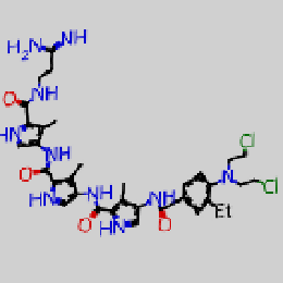 CCc1cc(C(=O)Nc2c[nH]c(C(=O)Nc3c[nH]c(C(=O)Nc4c[nH]c(C(=O)NCCC(=N)N)c4C)c3C)c2C)ccc1N(CCCl)CCCl